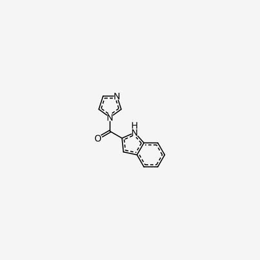 O=C(c1cc2ccccc2[nH]1)n1ccnc1